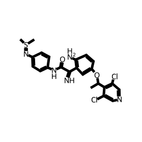 CC(Oc1ccc(N)c(C(=N)C(=O)Nc2ccc(N=S(C)C)cc2)c1)c1c(Cl)cncc1Cl